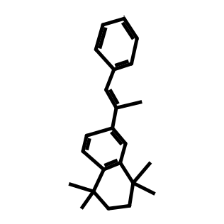 C/C(=C\c1cc[c]cc1)c1ccc2c(c1)C(C)(C)CCC2(C)C